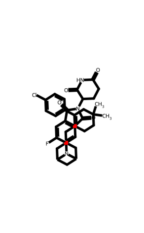 CC1(C)CCC(CN2CC3CC(C2)N3c2cc3c(cc2F)C(=O)N(C2CCC(=O)NC2=O)C3=O)=C(c2ccc(Cl)cc2)C1